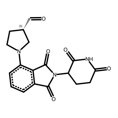 O=C[C@H]1CCN(c2cccc3c2C(=O)N(C2CCC(=O)NC2=O)C3=O)C1